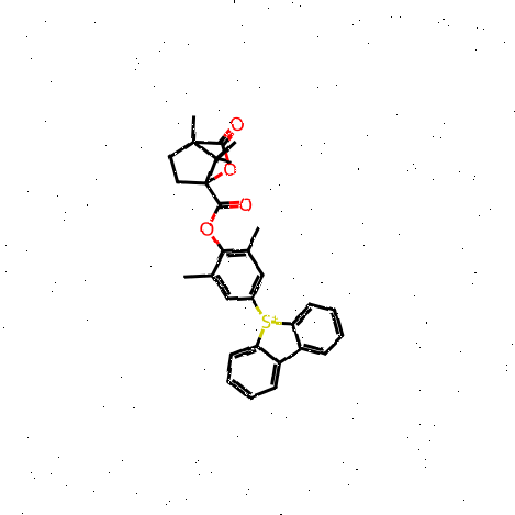 Cc1cc(-[s+]2c3ccccc3c3ccccc32)cc(C)c1OC(=O)C12CCC(C)(C(=O)O1)C2(C)C